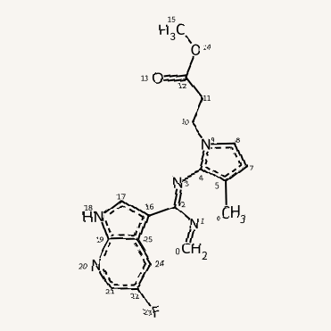 C=N/C(=N\c1c(C)ccn1CCC(=O)OC)c1c[nH]c2ncc(F)cc12